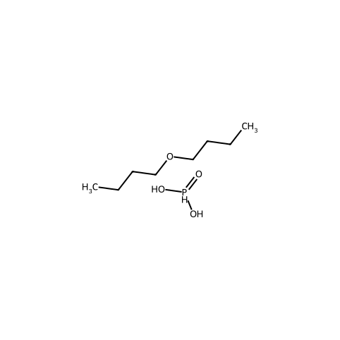 CCCCOCCCC.O=[PH](O)O